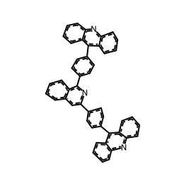 c1ccc2c(-c3ccc(-c4c5ccccc5nc5ccccc45)cc3)nc(-c3ccc(-c4c5ccccc5nc5ccccc45)cc3)cc2c1